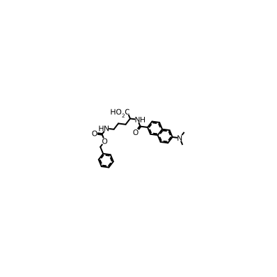 CN(C)c1ccc2cc(C(=O)NC(CCCNC(=O)OCc3ccccc3)C(=O)O)ccc2c1